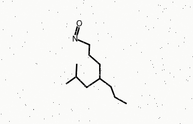 CCCC(CCCN=O)CC(C)C